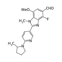 COc1cc(C=O)c(F)c2nc(-c3ccc(N4CCCC4C)nc3)n(C)c12